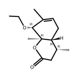 CCO[C@@H]1C(C)=CC[C@@H]2[C@H](C)CC(=O)O[C@@]12C